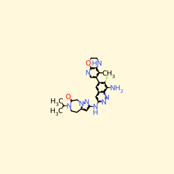 Cc1c(-c2cc3cc(Nc4cc5n(n4)CC(=O)N(C(C)C)CC5)nnc3c(N)c2F)cnc2c1NCCO2